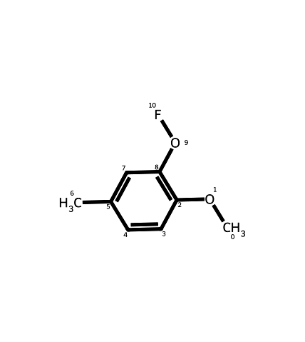 COc1ccc(C)cc1OF